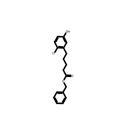 O=C(CCCCc1cc(O)ccc1Cl)OCc1ccccc1